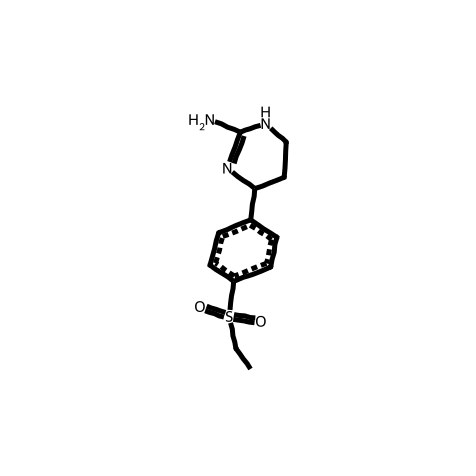 CCS(=O)(=O)c1ccc(C2CCNC(N)=N2)cc1